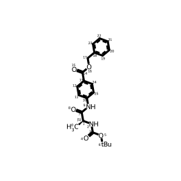 C[C@H](NC(=O)OC(C)(C)C)C(=O)Nc1ccc(C(=O)OCc2ccccc2)cc1